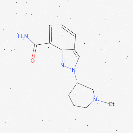 CCN1CCCC(n2cc3cccc(C(N)=O)c3n2)C1